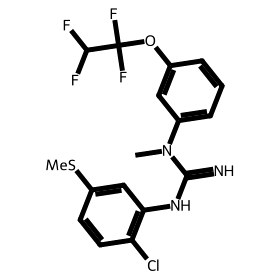 CSc1ccc(Cl)c(NC(=N)N(C)c2cccc(OC(F)(F)C(F)F)c2)c1